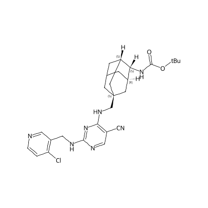 CC(C)(C)OC(=O)N[C@@H]1[C@@H]2CC3C[C@H]1C[C@@](CNc1nc(NCc4cnccc4Cl)ncc1C#N)(C3)C2